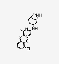 Cc1nc(NC2CCC3CNC(C3)C2)cnc1Sc1cccc(Cl)c1Cl